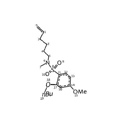 C=CCCCCN(C)S(=O)(=O)c1ccc(OC)cc1OCCCC